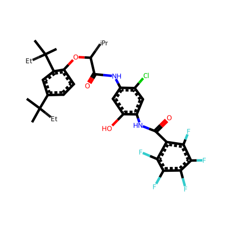 CCC(C)(C)c1ccc(OC(C(=O)Nc2cc(O)c(NC(=O)c3c(F)c(F)c(F)c(F)c3F)cc2Cl)C(C)C)c(C(C)(C)CC)c1